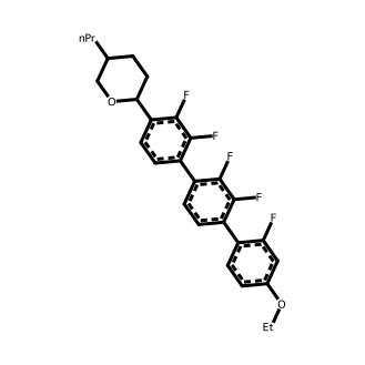 CCCC1CCC(c2ccc(-c3ccc(-c4ccc(OCC)cc4F)c(F)c3F)c(F)c2F)OC1